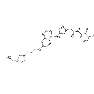 O=C(Cn1cc(Nc2ncnc3cc(OCCCN4CC[C@H](CO)C4)ccc23)cn1)Nc1cccc(F)c1F